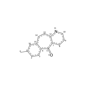 Cc1ccc2c(=O)c3cccnc3ccc2c1